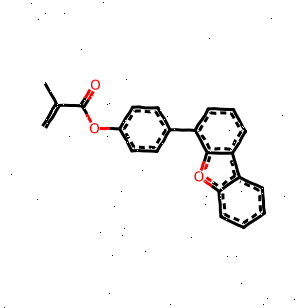 C=C(C)C(=O)Oc1ccc(-c2cccc3c2oc2ccccc23)cc1